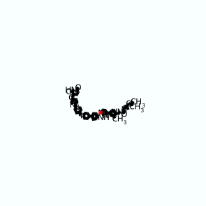 Cc1cc(-c2ccnc(Nc3ccc(C4CCN(CC5CCN(c6ccc(OC7CCC(=O)NC7=O)cn6)CC5)CC4)cc3)n2)ccc1CNC(=O)N1CC(OC(C)C)C1